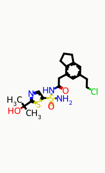 CC(C)(O)c1ncc([SH](N)(=O)NC(=O)Cc2cc(CCCl)cc3c2CCC3)s1